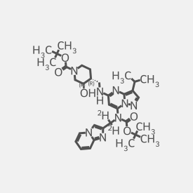 [2H]C([2H])(c1cn2ccccc2n1)N(C(=O)OC(C)(C)C)c1cc(NC[C@H]2CCN(C(=O)OC(C)(C)C)C[C@@H]2O)nc2c(C(C)C)cnn12